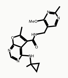 COc1nc(C)ncc1CNC(=O)c1c(C)oc2ncnc(NC3(C)CC3)c12